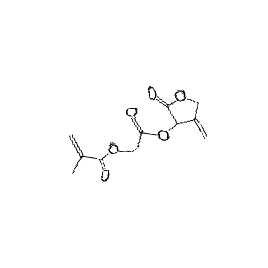 C=C(C)C(=O)OCC(=O)OC1C(=C)COC1=O